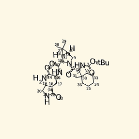 CC(C)(C)OC(=O)N[C@H](C(=O)N1C[C@H]2[C@@H]([C@H]1C(=O)N[C@@H](C[C@@H]1CCNC1=O)C(N)=O)C2(C)C)C1(C)CCCCC1